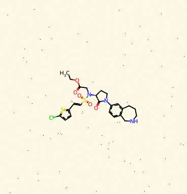 CCOC(=O)CN([C@H]1CCN(c2ccc3c(c2)CCCNC3)C1=O)S(=O)(=O)C=Cc1ccc(Cl)s1